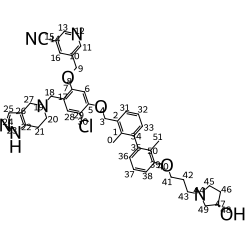 Cc1c(COc2cc(OCc3cncc(C#N)c3)c(CN3CCc4[nH]ncc4C3)cc2Cl)cccc1-c1cccc(OCCCN2CC[C@@H](O)C2)c1C